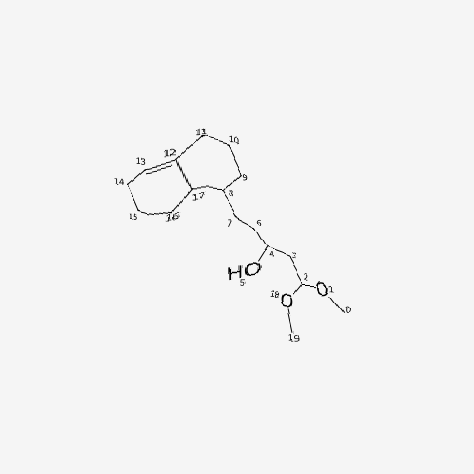 COC(CC(O)CCC1CCCC2=CCCCC21)OC